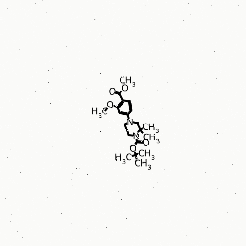 COC(=O)c1ccc(N2CCN(C(=O)OC(C)(C)C)C(C)(C)C2)cc1OC